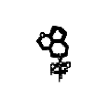 O=S(=O)(N1CCc2cccc3c2C(CCO3)C1)C(F)(F)F